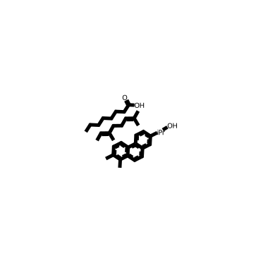 C/C=C(\C)CCC=C(C)C.CCCCCCCC(=O)O.CO.Cc1ccc2c(ccc3cc(C(C)C)ccc32)c1C